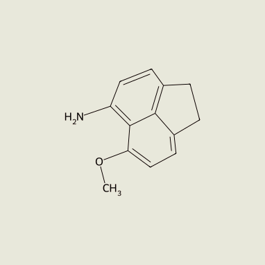 COc1ccc2c3c(ccc(N)c13)CC2